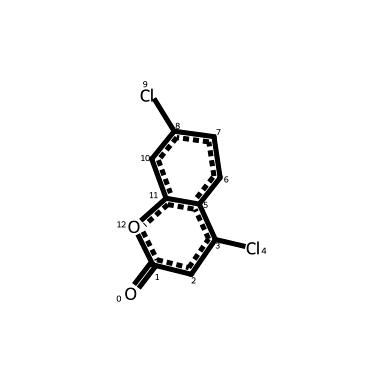 O=c1cc(Cl)c2ccc(Cl)cc2o1